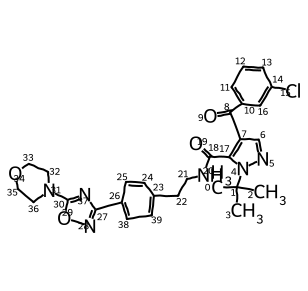 CC(C)(C)n1ncc(C(=O)c2cccc(Cl)c2)c1C(=O)NCCc1ccc(-c2noc(N3CCOCC3)n2)cc1